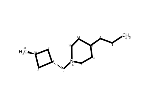 CCCC1CCN(C[C@H]2C[C@H](C)C2)CC1